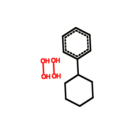 OO.OO.c1ccc(C2CCCCC2)cc1